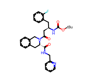 CC(C)(C)OC(=O)N[C@@H](CC(=O)N1Cc2ccccc2C[C@H]1C(=O)NCc1ccccn1)Cc1ccccc1F